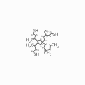 C=C(CCC)CCC(CCC(=C)CCS)(CCC(=C)CCS)CCC(=C)CCS